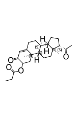 CCC(=O)OC1C[C@@]2(C)C(=CC1=O)CC[C@H]1[C@@H]3CC[C@H](C(C)=O)[C@@]3(C)CC[C@@H]12